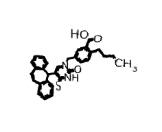 CCCCc1ccc(Cn2cc(C3c4ccccc4C=Cc4ccccc43)c(=S)[nH]c2=O)cc1C(=O)O